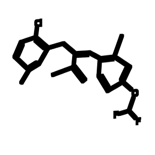 C=C(C)/C(=C\c1ccc(OC(F)F)cc1C)Cc1cc(C)ccc1Cl